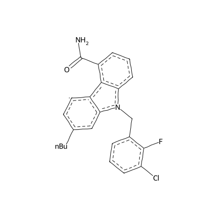 CCCCc1c[c]c2c3c(C(N)=O)cccc3n(Cc3cccc(Cl)c3F)c2c1